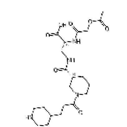 CC(=O)OCC(=O)N[C@H](CNC(=O)[C@@H]1CCCN(C(=O)CCC2CCNCC2)C1)C(=O)O